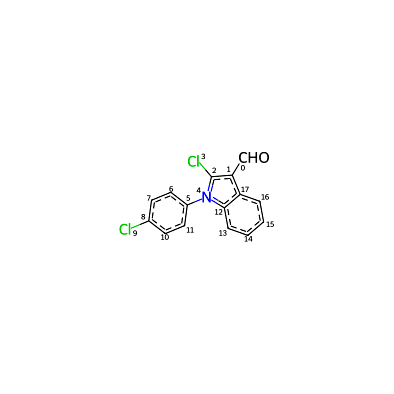 O=Cc1c(Cl)n(-c2ccc(Cl)cc2)c2ccccc12